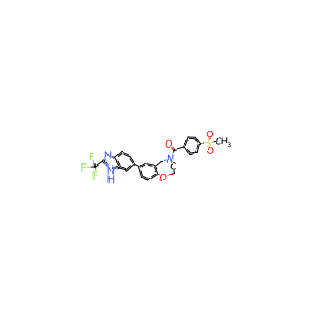 CS(=O)(=O)c1ccc(C(=O)N2CCOc3ccc(-c4ccc5nc(C(F)(F)F)[nH]c5c4)cc3C2)cc1